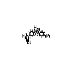 CCN1C[C@H]2CC2(c2ccc(NS(=O)(=O)c3ccc(C(C)C)cc3)cc2)C1